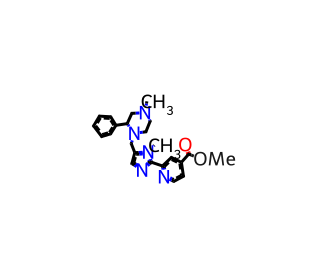 COC(=O)c1ccnc(-c2ncc(CN3CCN(C)CC3c3ccccc3)n2C)c1